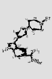 C=C(NC)c1cnc2[nH]cc(-c3cnn(C4CCN(CC)CC4)c3)c2c1